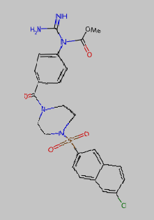 COC(=O)N(C(=N)N)c1ccc(C(=O)N2CCN(S(=O)(=O)c3ccc4cc(Cl)ccc4c3)CC2)cc1